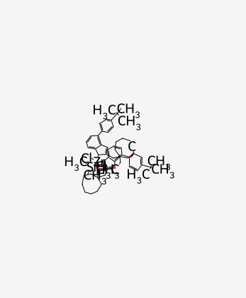 CCC1(CC2=Cc3c(-c4ccc(C(C)(C)C)cc4)cccc3[CH]2[Zr]([Cl])([Cl])([CH]2C(CC3(CC)CCCCCCC3)=Cc3c(-c4ccc(C(C)(C)C)cc4)cccc32)[SiH](C)C)CCCCCCC1